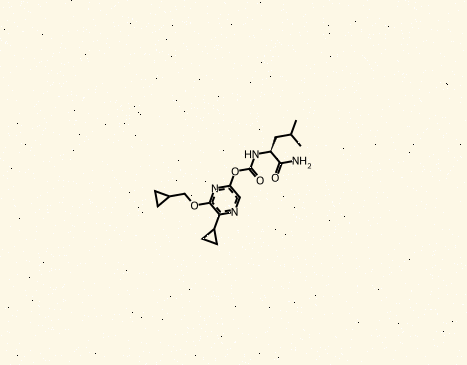 CC(C)C[C@H](NC(=O)Oc1cnc(C2CC2)c(OCC2CC2)n1)C(N)=O